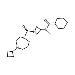 CN(C(=O)C1CCCCC1)C1CN(C(=O)N2CCCN(C3CCC3)CC2)C1